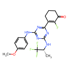 COc1ccc(Nc2nc(N[C@H](C)C(F)(F)F)nc(C3=C(F)C(=O)CCC3)n2)cc1